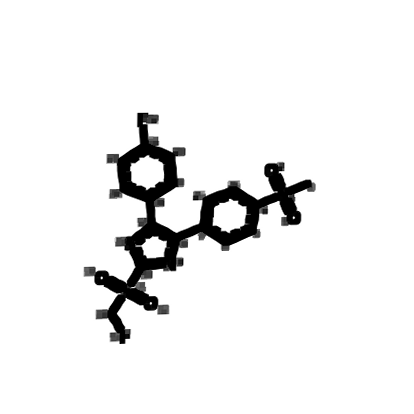 CS(=O)(=O)c1ccc(-c2nc(S(=O)(=O)CF)sc2-c2ccc(F)cc2)cc1